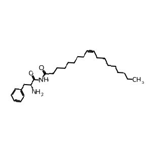 CCCCCCCC/C=C\CCCCCCCC(=O)NC(=O)[C@@H](N)Cc1ccccc1